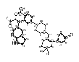 C[C@@H]1CN(c2cc(N3CCN(CC4=C(c5ccc(Cl)cc5)CC(C)(C)CC4)CC3)ccc2C(=O)O)c2cc3cc[nH]c3nc2O1